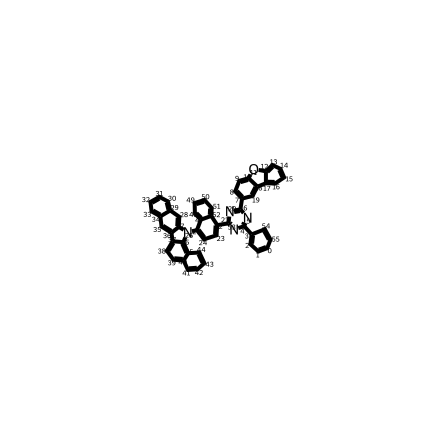 c1ccc(-c2nc(-c3ccc4oc5ccccc5c4c3)nc(-c3ccc(-n4c5cc6ccccc6cc5c5ccc6ccccc6c54)c4ccccc34)n2)cc1